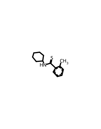 Cc1ccccc1C(=S)NC1CCCCC1